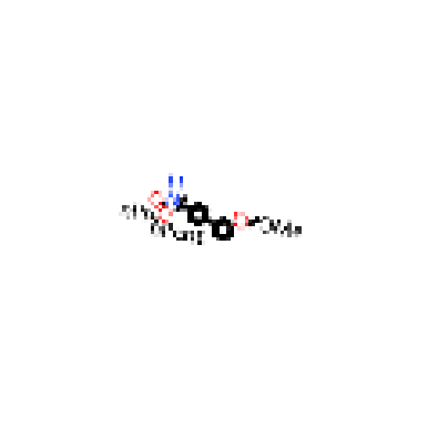 CCCCCC(CCC)OC(=O)NC(C)(C)c1ccc(-c2cccc(OCCOC)c2)cc1